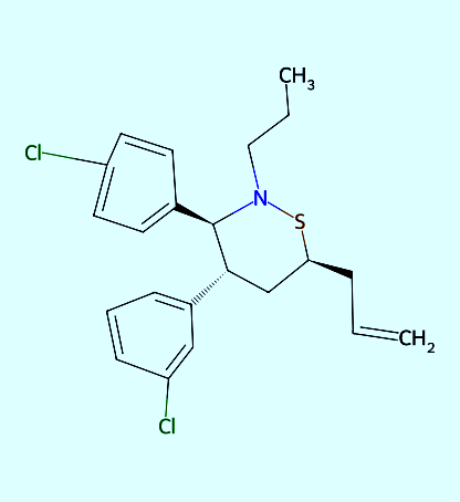 C=CC[C@H]1C[C@H](c2cccc(Cl)c2)[C@@H](c2ccc(Cl)cc2)N(CCC)S1